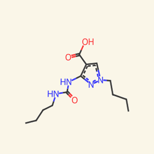 CCCCNC(=O)Nc1nn(CCCC)cc1C(=O)O